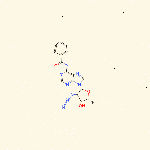 CC[C@H]1O[C@@H](n2cnc3c(NC(=O)c4ccccc4)ncnc32)[C@H](N=[N+]=[N-])[C@H]1O